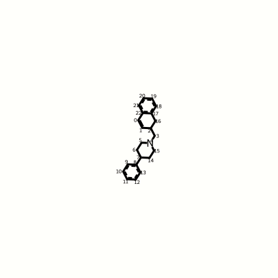 C1=CC(CN2CCC(c3ccccc3)CC2)Cc2ccccc21